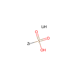 O=[S](=O)(O)[Zr].[LiH]